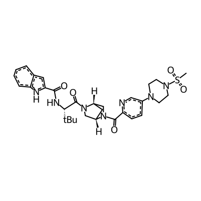 CC(C)(C)[C@H](NC(=O)c1cc2ccccc2[nH]1)C(=O)N1C[C@@H]2C[C@H]1CN2C(=O)c1ccc(N2CCN(S(C)(=O)=O)CC2)cn1